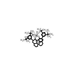 CC(C)(C)c1cc(-c2cc3c(c4c2OP(=O)(O)OC2C(c5cc(C(C)(C)C)cc(C(C)(C)C)c5)CC5CCCCC5[C@H]42)CCCC3)cc(C(C)(C)C)c1